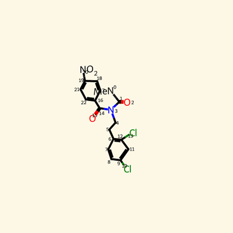 CNC(=O)N(CCc1ccc(Cl)cc1Cl)C(=O)c1ccc([N+](=O)[O-])cc1